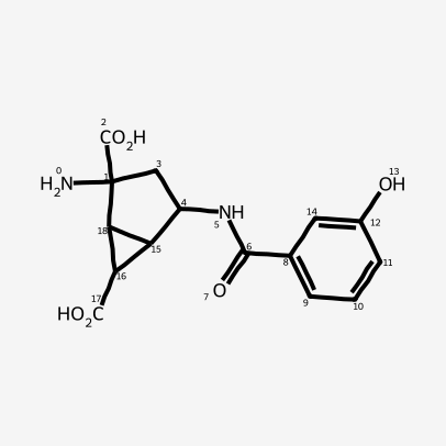 NC1(C(=O)O)CC(NC(=O)c2cccc(O)c2)C2C(C(=O)O)C21